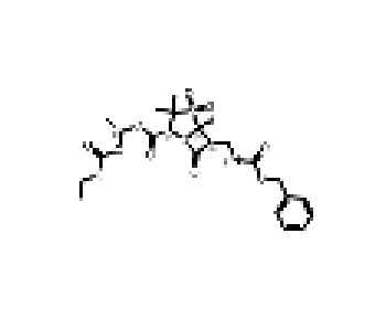 CCOC(=O)O[C@H](C)OC(=O)[C@@H]1N2C(=O)[C@H](CNC(=O)OCc3ccccc3)[C@H]2S(=O)(=O)C1(C)C